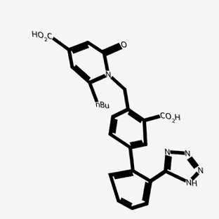 CCCCc1cc(C(=O)O)cc(=O)n1Cc1ccc(-c2ccccc2-c2nnn[nH]2)cc1C(=O)O